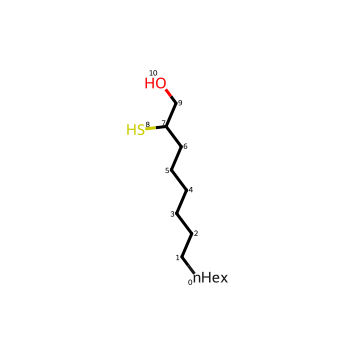 CCCCCCCCCCCCC(S)CO